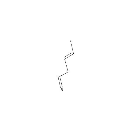 CC=CCC=S